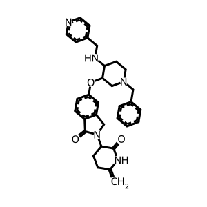 C=C1CCC(N2Cc3cc(OC4CN(Cc5ccccc5)CCC4NCc4ccncc4)ccc3C2=O)C(=O)N1